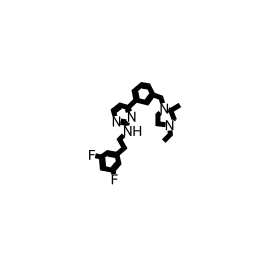 CCN1CCN(Cc2cccc(-c3ccnc(NCCc4cc(F)cc(F)c4)n3)c2)C(C)C1